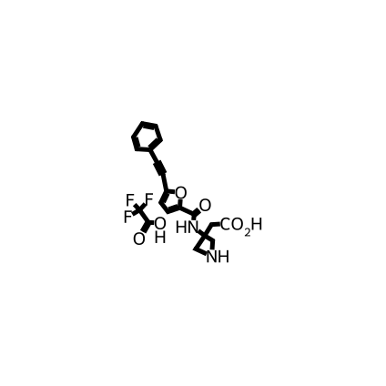 O=C(O)C(F)(F)F.O=C(O)CC1(NC(=O)c2ccc(C#Cc3ccccc3)o2)CNC1